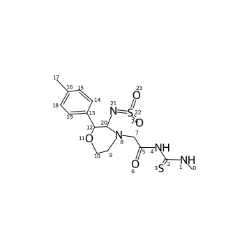 CNC(=S)NC(=O)CN1CCOC(c2ccc(C)cc2)C1N=S(=O)=O